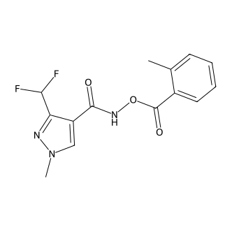 Cc1ccccc1C(=O)ONC(=O)c1cn(C)nc1C(F)F